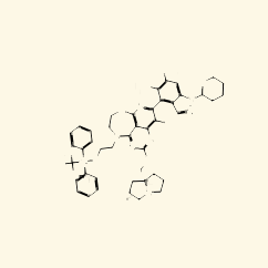 Cc1cc2c(cnn2C2CCCCO2)c(-c2nc3c4c(nc(OC[C@@]56CCCN5C[C@H](F)C6)nc4c2F)N(CCO[Si](c2ccccc2)(c2ccccc2)C(C)(C)C)CCO3)c1C